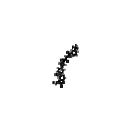 Cn1c(=O)oc2ccc([C@]3(O)CC[C@H](N4CC(NC(=O)CNC(=O)c5cccc(C(F)(F)F)c5)C4)CC3)cc21